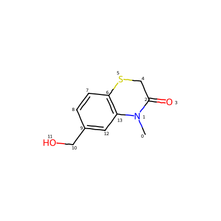 CN1C(=O)CSc2ccc(CO)cc21